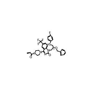 C=CC(=O)N1CCN(c2nc(=O)n3c4c(cc(C(F)(F)F)cc24)[SH](c2ccc(F)cc2)C[C@@H](OCc2ccccc2)C3)CC1